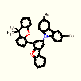 CC(C)(C)c1ccc2c(c1)c1cc(C(C)(C)C)ccc1n2-c1cc(-c2cccc3c2Oc2ccccc2C3(C)C)c2oc3ccccc3c2c1